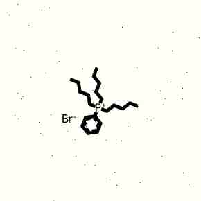 CCCCC[P+](CCCCC)(CCCCC)c1ccccc1.[Br-]